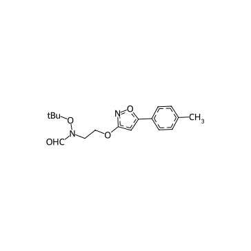 Cc1ccc(-c2cc(OCCN(C=O)OC(C)(C)C)no2)cc1